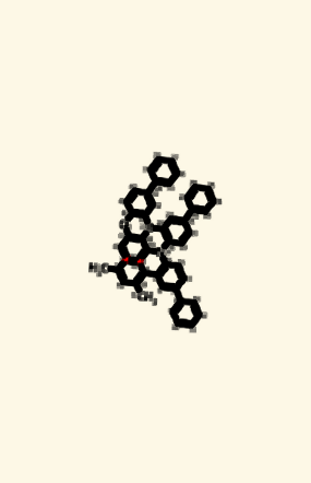 Cc1ccc(-c2cc(-c3ccccc3)ccc2N2c3ccc(-c4ccccc4)cc3B3c4cc(-c5ccccc5)ccc4Oc4cccc2c43)c(C)c1